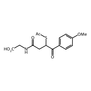 COc1ccc(C(=O)C(CC(=O)NCC(=O)O)SC(C)=O)cc1